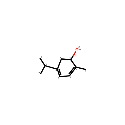 CC1=CC=C(C(C)C)CC1O